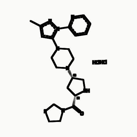 Cc1cc(N2CCN([C@@H]3CN[C@H](C(=O)N4CCSC4)C3)CC2)n(-c2ccccn2)n1.Cl.Cl